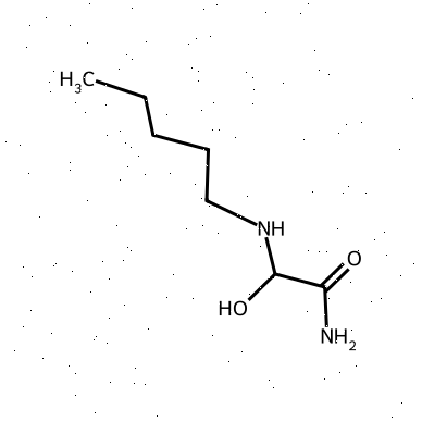 CCCCCNC(O)C(N)=O